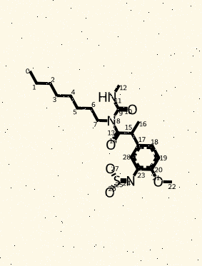 CCCCCCCCN(C(=O)NC)C(=O)C(C)c1ccc(OC)c(N=S(=O)=O)c1